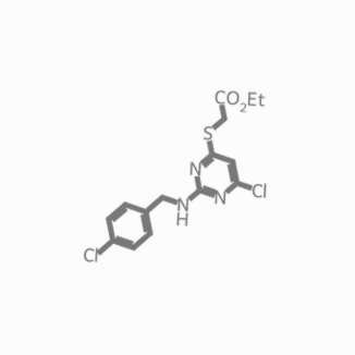 CCOC(=O)CSc1cc(Cl)nc(NCc2ccc(Cl)cc2)n1